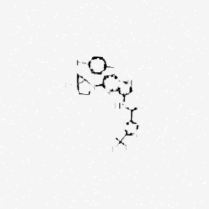 O=C(Nc1cnn2ccc(N3CC[C@H]4C[C@]43c3cc(F)ccc3F)nc12)c1cnc(C(F)(F)F)s1